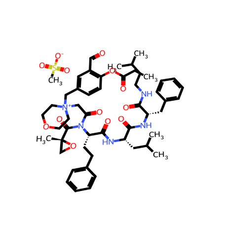 CCC(=O)Oc1ccc(C[N+]2(CC(=O)N(C(=O)[C@@]3(C)CO3)[C@@H](CCc3ccccc3)C(=O)N[C@@H](CC(C)C)C(=O)N[C@@H](Cc3ccccc3)C(=O)NCCC(C)C)CCOCC2)cc1C=O.CS(=O)(=O)[O-]